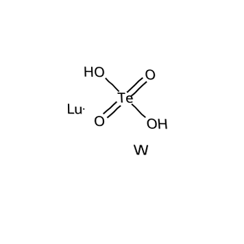 O=[Te](=O)(O)O.[Lu].[W]